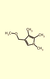 COCc1cn(C)c(C)c1C